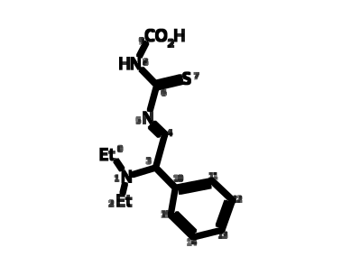 CCN(CC)C(/C=N/C(=S)NC(=O)O)c1ccccc1